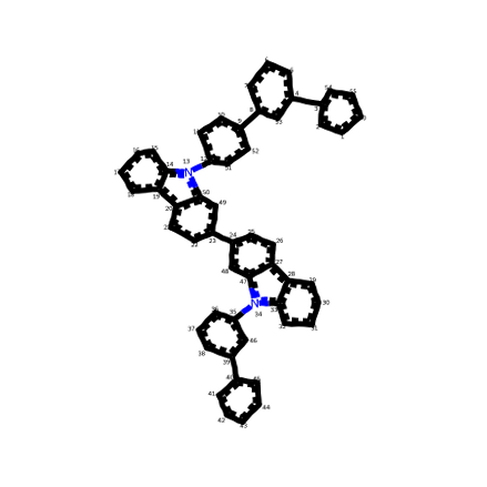 c1ccc(-c2cccc(-c3ccc(-n4c5ccccc5c5ccc(-c6ccc7c8ccccc8n(-c8cccc(-c9ccccc9)c8)c7c6)cc54)cc3)c2)cc1